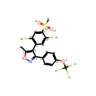 Cc1onc(-c2ccc(OC(F)(F)F)cc2)c1-c1cc(F)c(S(C)(=O)=O)cc1F